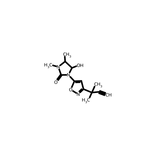 C#CC(C)(C)c1cc(N2C(=O)N(C)C(C)C2O)on1